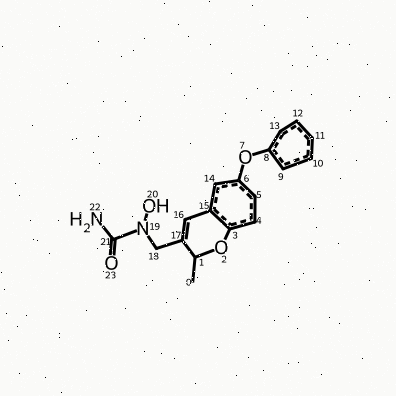 CC1Oc2ccc(Oc3ccccc3)cc2C=C1CN(O)C(N)=O